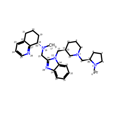 CC(C)N1CCC[C@@H]1CN1CCC[C@H](Cn2c(CN(C)[C@H]3CCCc4cccnc43)nc3ccccc32)C1